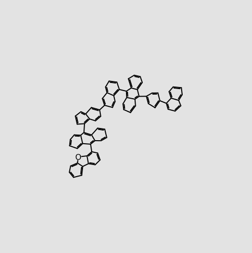 c1ccc2c(-c3ccc(-c4c5ccccc5c(-c5cccc6cc(-c7ccc8c(-c9c%10ccccc%10c(-c%10cccc%11c%10oc%10ccccc%10%11)c%10ccccc9%10)cccc8c7)ccc56)c5ccccc45)cc3)cccc2c1